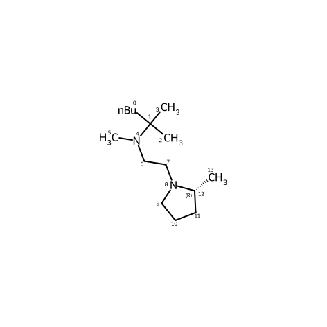 CCCCC(C)(C)N(C)CCN1CCC[C@H]1C